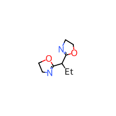 CCC(C1=NCCO1)C1=NCCO1